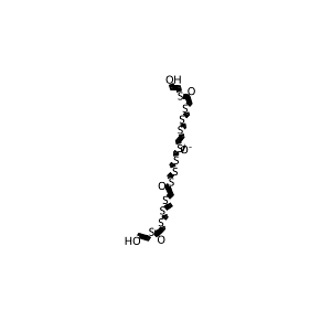 O=C(CSCSCSCC[S+]([O-])CSCSCSC(=O)CSCSCSCC(=O)SCCO)SCCO